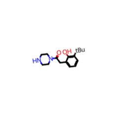 CC(C)(C)c1cccc(CC(=O)N2CCNCC2)c1O